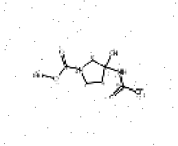 CC(C)(C)OC(=O)N1CCC(C#N)(NC(=O)C(F)(F)F)C1